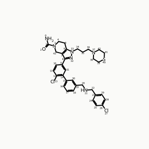 NC(=O)N1CCc2c(c(-c3ccc(Cl)c(-c4cccc(CNCc5ccc(Cl)cc5)c4)c3)nn2CCCN2CCSCC2)C1